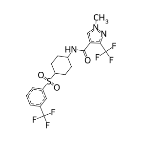 Cn1cc(C(=O)NC2CCC(S(=O)(=O)c3cccc(C(F)(F)F)c3)CC2)c(C(F)(F)F)n1